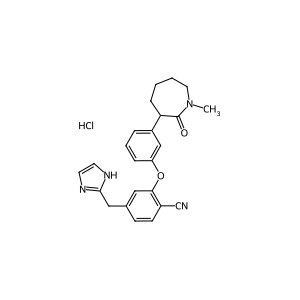 CN1CCCCC(c2cccc(Oc3cc(Cc4ncc[nH]4)ccc3C#N)c2)C1=O.Cl